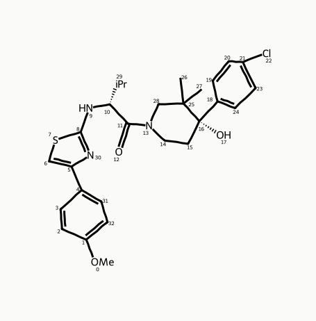 COc1ccc(-c2csc(N[C@@H](C(=O)N3CC[C@](O)(c4ccc(Cl)cc4)C(C)(C)C3)C(C)C)n2)cc1